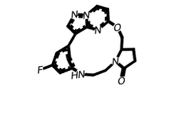 O=C1CCC2COc3ccn4ncc(c4n3)-c3cc(F)cc(c3)NCCN12